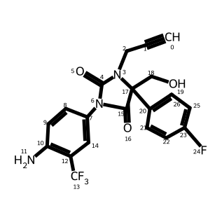 C#CCN1C(=O)N(c2ccc(N)c(C(F)(F)F)c2)C(=O)C1(CO)c1ccc(F)cc1